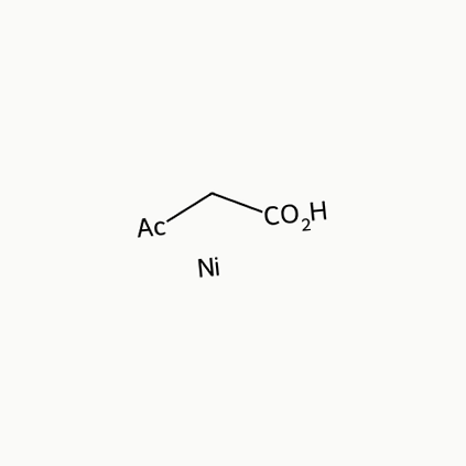 CC(=O)CC(=O)O.[Ni]